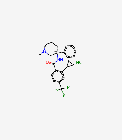 CN1CCC[C@](NC(=O)c2ccc(C(F)(F)F)cc2C2CC2)(c2ccccc2)C1.Cl